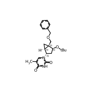 Cc1cn([C@H]2C[C@H](OC(C)(C)C)[C@@]3(COCc4ccccc4)C[C@H]23)c(=O)[nH]c1=O